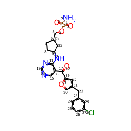 NS(=O)(=O)OC[C@@H]1CC[C@H](Nc2ncncc2C(=O)c2cc(Cc3cccc(Cl)c3)co2)C1